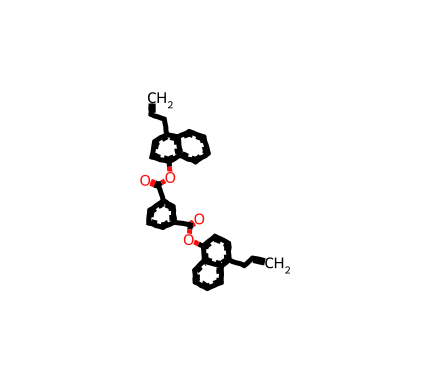 C=CCc1ccc(OC(=O)c2cccc(C(=O)Oc3ccc(CC=C)c4ccccc34)c2)c2ccccc12